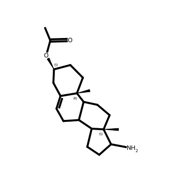 CC(=O)O[C@H]1CC[C@@]2(C)C(=CCC3C4CCC(N)[C@@]4(C)CCC32)C1